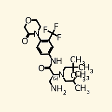 CC(C)CN(CC(C)(C)C)[C@@H](CN)C(=O)Nc1ccc(N2CCOCC2=O)c(C(F)(F)F)c1